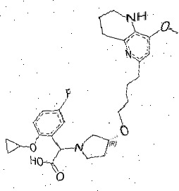 COc1cc(CCCCO[C@@H]2CCN(C(C(=O)O)c3cc(F)ccc3OC3CC3)C2)nc2c1NCCC2